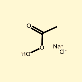 CC(=O)OO.[Cl-].[Na+]